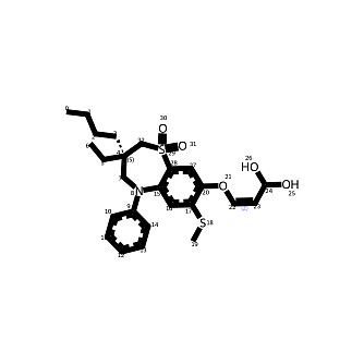 CCCC[C@@]1(CC)CN(c2ccccc2)c2cc(SC)c(O/C=C\C(O)O)cc2S(=O)(=O)C1